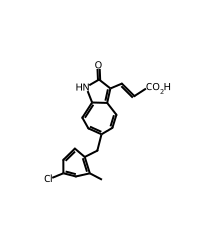 Cc1cc(Cl)ccc1Cc1ccc2[nH]c(=O)c(C=CC(=O)O)c-2cc1